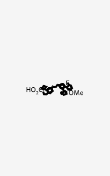 COC1=CC(c2ccc(CCCc3ccc4c(c3)[C@]3(CCC4)CC[C@H]3C(=O)O)cc2C2=CCCC2(C)C)C(F)C=C1